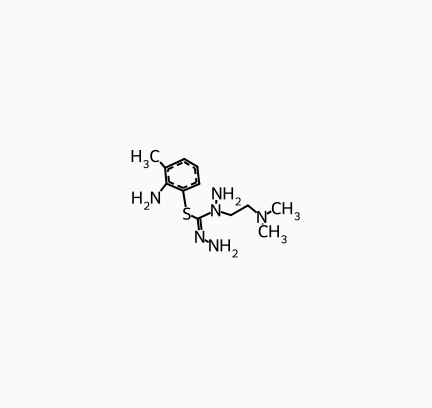 Cc1cccc(S/C(=N/N)N(N)CCN(C)C)c1N